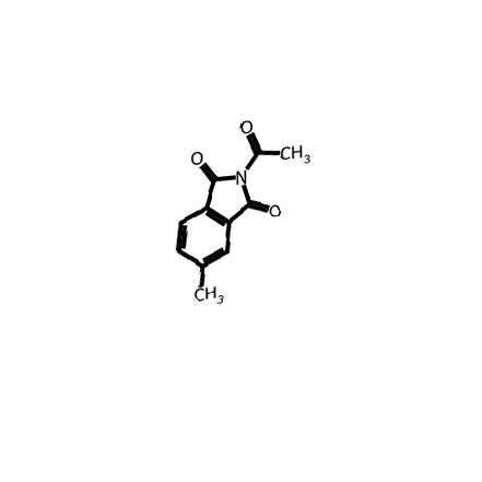 CC(=O)N1C(=O)c2ccc(C)cc2C1=O